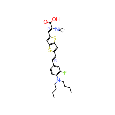 [C-]#[N+]/C(=C\c1cc2sc(/C=C/c3ccc(N(CCCC)CCCC)c(F)c3)cc2s1)C(=O)O